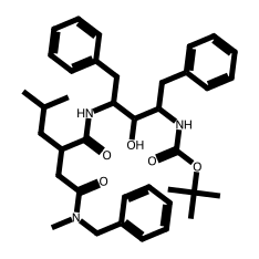 CC(C)CC(CC(=O)N(C)Cc1ccccc1)C(=O)NC(Cc1ccccc1)C(O)C(Cc1ccccc1)NC(=O)OC(C)(C)C